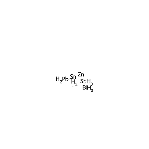 [BiH3].[PbH2].[SbH3].[SnH2].[Zn]